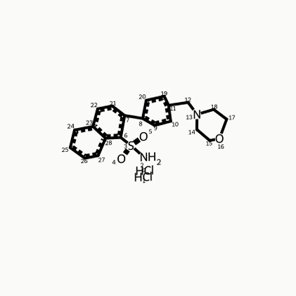 Cl.Cl.NS(=O)(=O)c1c(-c2ccc(CN3CCOCC3)cc2)ccc2ccccc12